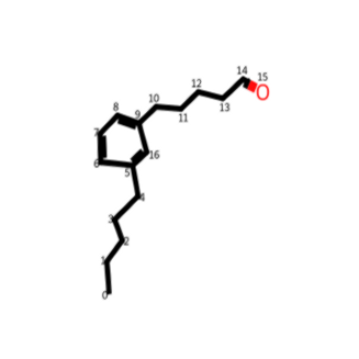 CCCCCc1cccc(CCCC[C]=O)c1